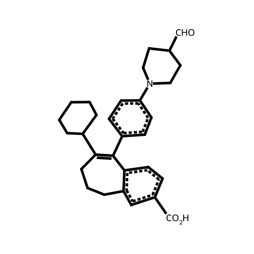 O=CC1CCN(c2ccc(C3=C(C4CCCCC4)CCCc4cc(C(=O)O)ccc43)cc2)CC1